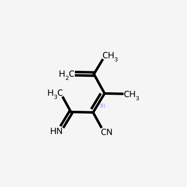 C=C(C)/C(C)=C(/C#N)C(C)=N